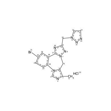 Cc1ncn2c1Cn1nc(Cn3ccnn3)nc1-c1cc(Br)ccc1-2.Cl